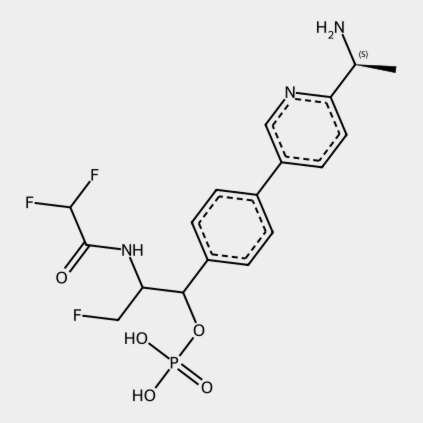 C[C@H](N)c1ccc(-c2ccc(C(OP(=O)(O)O)C(CF)NC(=O)C(F)F)cc2)cn1